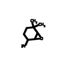 CC(C)C1CCC(C)(C)C2OC12